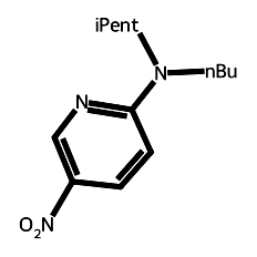 CCCCN(c1ccc([N+](=O)[O-])cn1)C(C)CCC